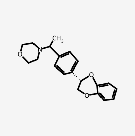 CC(c1ccc([C@H]2COc3ccccc3O2)cc1)N1CCOCC1